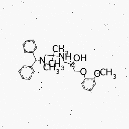 COc1ccccc1OC[C@H](O)CNC(C)(C)CN(C)C(c1ccccc1)c1ccccc1